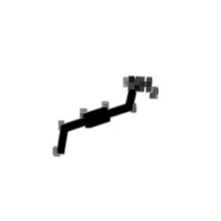 CCC#CCN